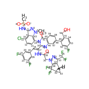 Cn1nc(NS(C)(=O)=O)c2c(Cl)ccc(-n3c([C@H](Cc4cc(F)cc(F)c4)NC(=O)Cn4nc(C(F)F)c5c4C(F)(F)C4C[C@@H]54)nc4cc(-c5cc(F)ccc5CO)ccc4c3=O)c21